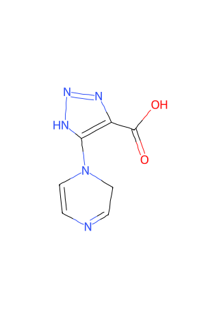 O=C(O)c1nn[nH]c1N1C=CN=CC1